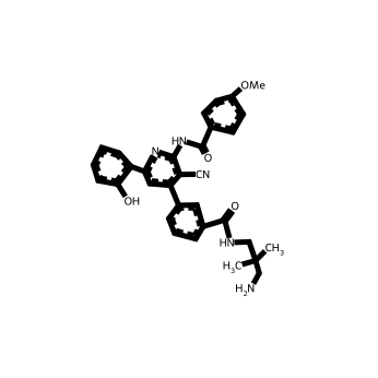 COc1ccc(C(=O)Nc2nc(-c3ccccc3O)cc(-c3cccc(C(=O)NCC(C)(C)CN)c3)c2C#N)cc1